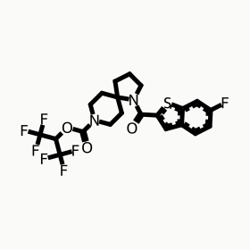 O=C(OC(C(F)(F)F)C(F)(F)F)N1CCC2(CCCN2C(=O)c2cc3ccc(F)cc3s2)CC1